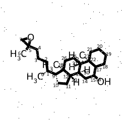 C[C@H](CCCC1(C)CO1)[C@H]1CC[C@H]2[C@@H]3CC(O)C4CCCC[C@]4(C)[C@H]3CC[C@]12C